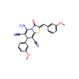 COc1cccc(C=c2sc3n(c2=O)C(N)=C(C#N)C(c2cccc(OC)c2)C=3C#N)c1